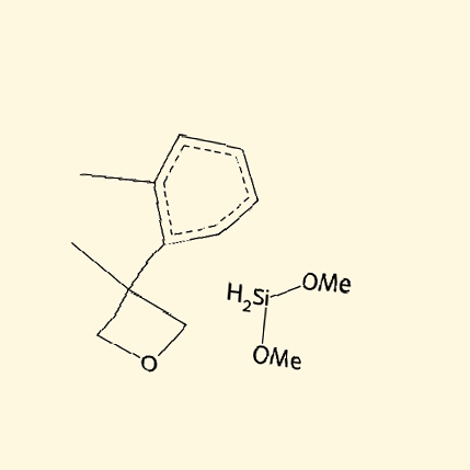 CO[SiH2]OC.Cc1ccccc1C1(C)COC1